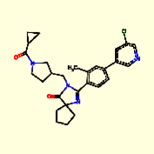 Cc1cc(-c2cncc(Cl)c2)ccc1C1=NC2(CCCC2)C(=O)N1CC1CCN(C(=O)C2CC2)C1